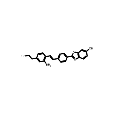 Nc1cc(CCC(F)(F)F)ccc1C=Cc1ccc(-c2nc3ccc(O)cc3s2)cc1